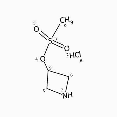 CS(=O)(=O)OC1CNC1.Cl